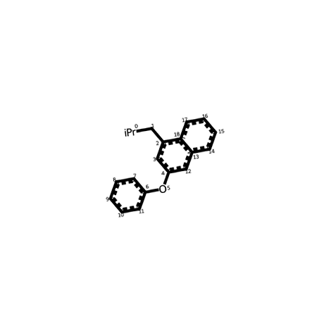 CC(C)Cc1cc(Oc2ccccc2)cc2ccccc12